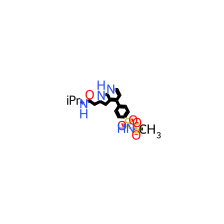 CC(C)NC(=O)CC1Cc2c(-c3ccc(S(=O)(=O)NS(C)(=O)=O)cc3)ccnc2N1